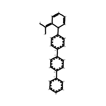 CC(C)=C1C=CC=CC1c1ccc(-c2ccc(-c3ccccc3)cc2)cc1